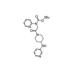 CC(C)(C)OC(=O)N(CC(=O)N1CCC(Nc2cccnc2)CC1)c1ccccn1